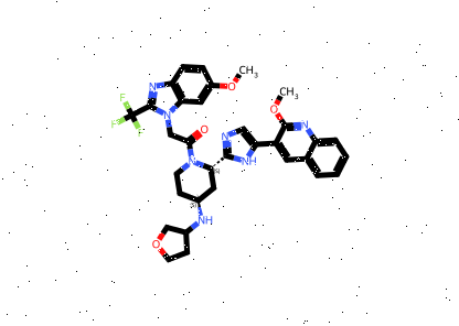 COc1ccc2nc(C(F)(F)F)n(CC(=O)N3CC[C@H](NC4CCOC4)C[C@H]3c3ncc(-c4cc5ccccc5nc4OC)[nH]3)c2c1